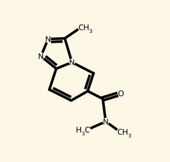 Cc1nnc2ccc(C(=O)N(C)C)cn12